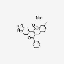 Cc1ccc(CC(C(=O)c2ccccc2)=C(C(=O)[O-])c2ccc3nsnc3c2)cc1.[Na+]